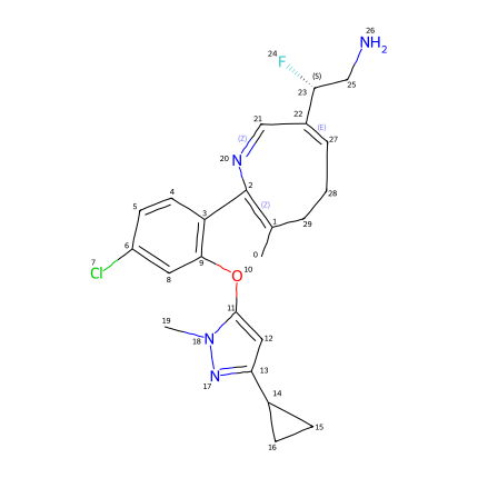 C/C1=C(c2ccc(Cl)cc2Oc2cc(C3CC3)nn2C)/N=C\C([C@H](F)CN)=C/CC1